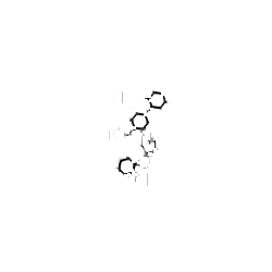 Cc1ccccc1-c1ccc(CO)c(N2CC[C@H](Oc3ccccc3Cl)C2)c1